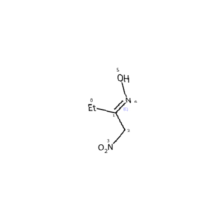 CC/C(C[N+](=O)[O-])=N\O